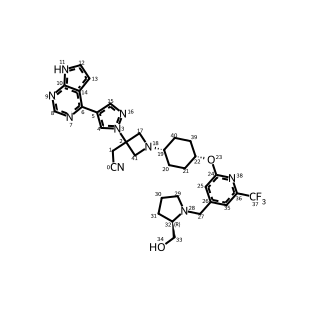 N#CCC1(n2cc(-c3ncnc4[nH]ccc34)cn2)CN([C@H]2CC[C@@H](Oc3cc(CN4CCC[C@@H]4CO)cc(C(F)(F)F)n3)CC2)C1